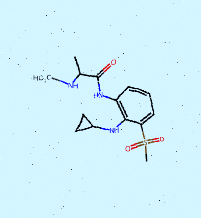 CC(NC(=O)O)C(=O)Nc1cccc(S(C)(=O)=O)c1NC1CC1